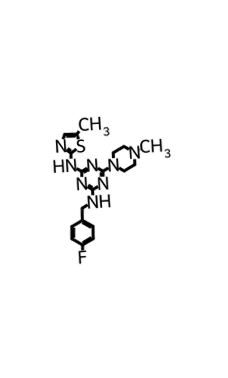 Cc1cnc(Nc2nc(NCc3ccc(F)cc3)nc(N3CCN(C)CC3)n2)s1